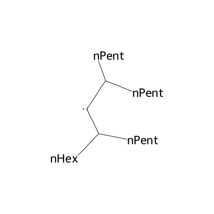 CCCCCCC([CH]C(CCCCC)CCCCC)CCCCC